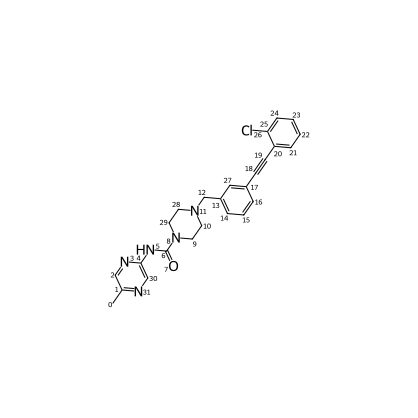 Cc1cnc(NC(=O)N2CCN(Cc3cccc(C#Cc4ccccc4Cl)c3)CC2)cn1